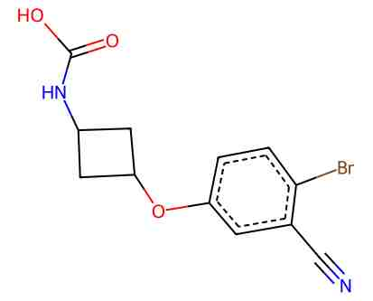 N#Cc1cc(OC2CC(NC(=O)O)C2)ccc1Br